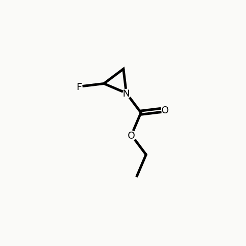 CCOC(=O)N1CC1F